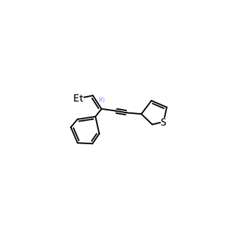 CC/C=C(/C#CC1C=CSC1)c1ccccc1